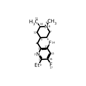 CCc1nc(CC2CCN(C)[C@H](C)C2)c(F)cc1F